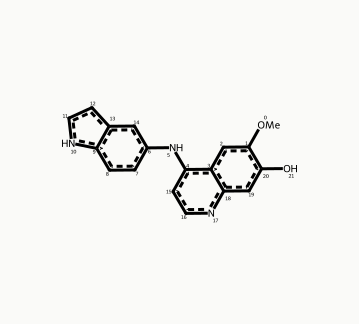 COc1cc2c(Nc3ccc4[nH]ccc4c3)ccnc2cc1O